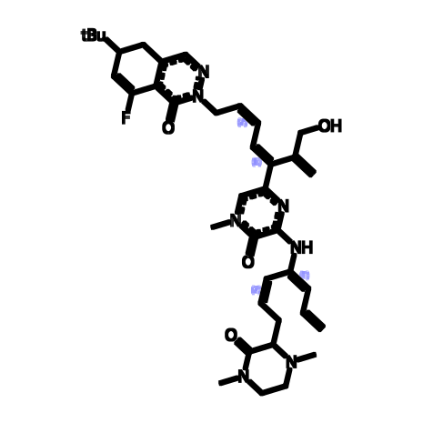 C=C/C=C(\C=C/CC1C(=O)N(C)CCN1C)Nc1nc(/C(=C/C=C\Cn2ncc3c(c2=O)C(F)=CC(C(C)(C)C)C3)C(=C)CO)cn(C)c1=O